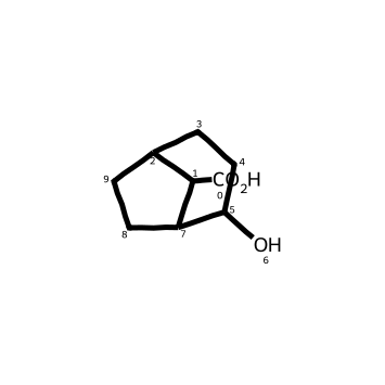 O=C(O)C1C2CCC(O)C1CC2